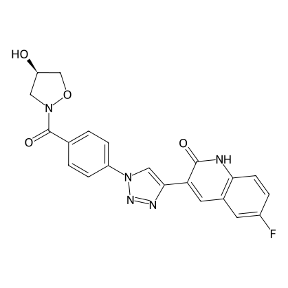 O=C(c1ccc(-n2cc(-c3cc4cc(F)ccc4[nH]c3=O)nn2)cc1)N1C[C@@H](O)CO1